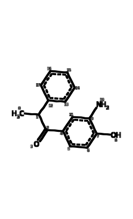 CC(C(=O)c1ccc(O)c(N)c1)c1ccccc1